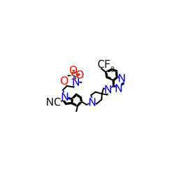 Cc1c(CN2CCC3(CC2)CN(c2ncnc4ccc(CC(F)(F)F)cc24)C3)ccc2c1cc(C#N)n2CC1CN(C)S(=O)(=O)CO1